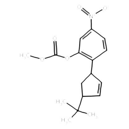 COC(=O)Oc1cc([N+](=O)[O-])ccc1C1C=CC(C(C)(C)C)C1